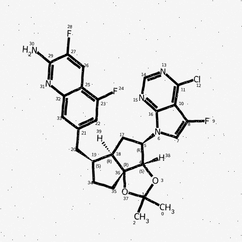 CC1(C)O[C@H]2[C@H](n3cc(F)c4c(Cl)ncnc43)C[C@@H]3[C@H](Cc4cc(F)c5cc(F)c(N)nc5c4)CC[C@@]32O1